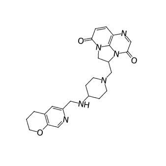 O=c1ccc2ncc(=O)n3c2n1CC3CN1CCC(NCc2cc3c(cn2)OCCC3)CC1